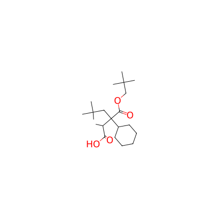 CC(C(=O)O)C(CC(C)(C)C)(C(=O)OCC(C)(C)C)C1CCCCC1